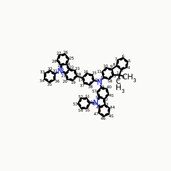 CC1(C)c2ccccc2-c2ccc(N(c3ccc(-c4ccc5c(c4)c4ccccc4n5-c4ccccc4)cc3)c3ccc4c5ccccc5n(-c5ccccc5)c4c3)cc21